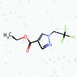 CCOC(=O)c1cnn(CC(F)(F)F)c1